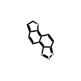 C1=c2ccc3c4c(ccc3c2OC1)=NN=N4